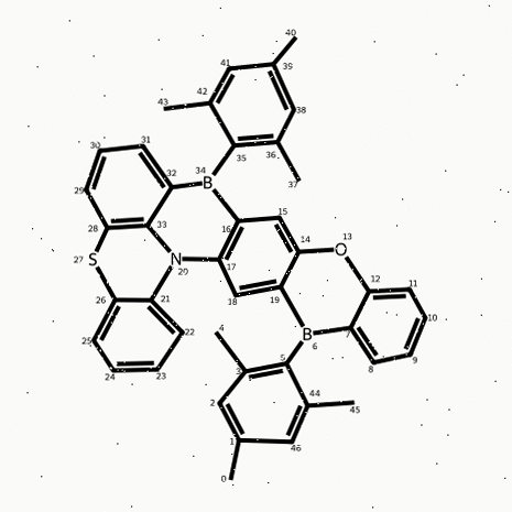 Cc1cc(C)c(B2c3ccccc3Oc3cc4c(cc32)N2c3ccccc3Sc3cccc(c32)B4c2c(C)cc(C)cc2C)c(C)c1